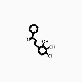 O=C(C=Cc1ccc(Cl)c(O)c1O)c1ccccc1